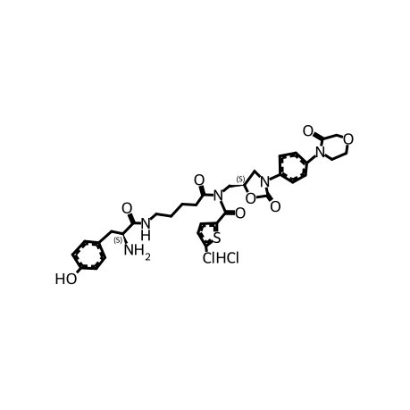 Cl.N[C@@H](Cc1ccc(O)cc1)C(=O)NCCCCC(=O)N(C[C@H]1CN(c2ccc(N3CCOCC3=O)cc2)C(=O)O1)C(=O)c1ccc(Cl)s1